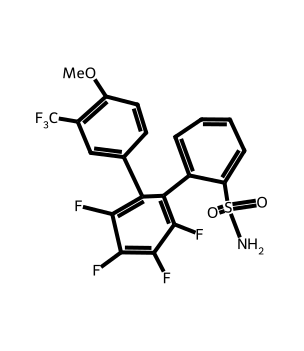 COc1ccc(-c2c(F)c(F)c(F)c(F)c2-c2ccccc2S(N)(=O)=O)cc1C(F)(F)F